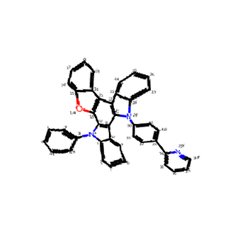 c1ccc(-n2c3ccccc3c3c2c2oc4ccccc4c2c2c4ccccc4n(-c4ccc(-c5ccccn5)cc4)c23)cc1